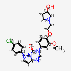 COc1cc(N2C=NC3C=CN(c4ccc(Cl)cc4)N3C2=O)ccc1OCCN1CCC(O)C1